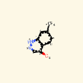 O=c1cn[nH]c2cc(C(F)(F)F)ccc12